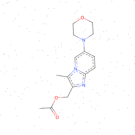 CC(=O)OCc1nc2ccc(N3CCOCC3)cn2c1C